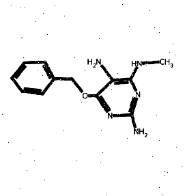 CNc1nc(N)nc(OCc2ccccc2)c1N